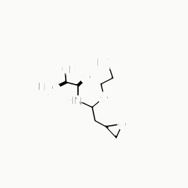 C=C(C)C(=O)NC(CC1CO1)OCCC